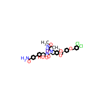 Cc1nc(C(=O)N2Cc3cc4c(cc3C[C@H]2C(=O)NC(Cc2ccc(-c3ccc(C(N)=O)cc3)cc2)C(=O)O)OC[C@H](c2ccc(OCc3ccc(Cl)c(Cl)c3)cc2)O4)c(C)o1